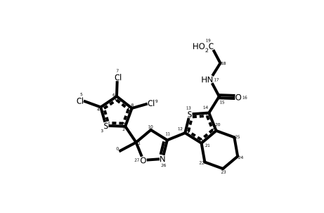 CC1(c2sc(Cl)c(Cl)c2Cl)CC(c2sc(C(=O)NCC(=O)O)c3c2CCCC3)=NO1